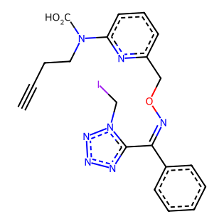 C#CCCN(C(=O)O)c1cccc(CON=C(c2ccccc2)c2nnnn2CI)n1